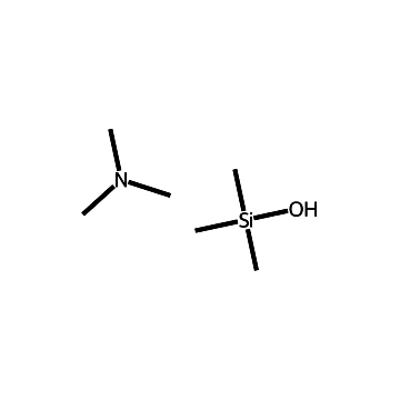 CN(C)C.C[Si](C)(C)O